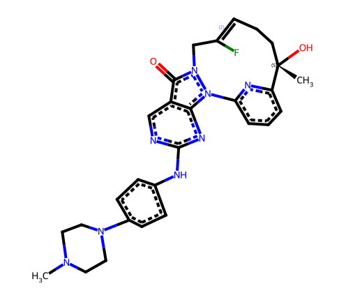 CN1CCN(c2ccc(Nc3ncc4c(=O)n5n(c4n3)-c3cccc(n3)[C@@](C)(O)CC/C=C(\F)C5)cc2)CC1